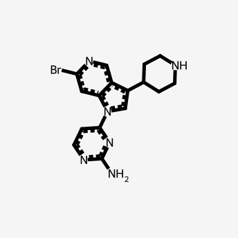 Nc1nccc(-n2cc(C3CCNCC3)c3cnc(Br)cc32)n1